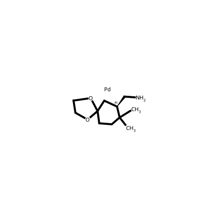 CC1(C)CCC2(C[C@H]1CN)OCCO2.[Pd]